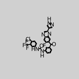 O=C(Nc1ccc(Cl)c(C(F)(F)F)c1)Nc1cccc(C(=O)c2ccc3ncc(-c4cn[nH]c4)nc3c2)c1F